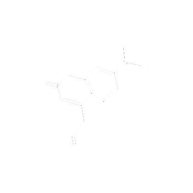 CN(C)c1ccc2c(CC=O)cc(=O)oc2c1